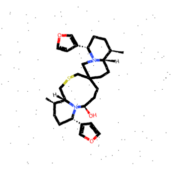 C[C@@H]1CC[C@@H](c2ccoc2)N2CC3(CC[C@@H](O)N4[C@H](c5ccoc5)CC[C@@H](C)[C@@H]4CSC3)CC[C@@H]12